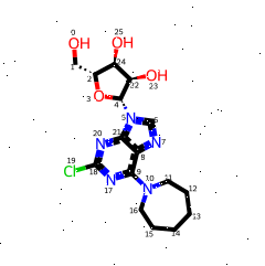 OC[C@H]1O[C@@H](n2cnc3c(N4CCCCCC4)nc(Cl)nc32)[C@H](O)[C@@H]1O